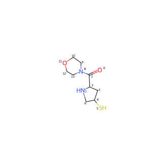 O=C(C1CC(S)CN1)N1CCOCC1